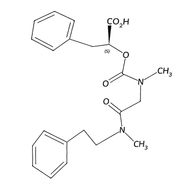 CN(CCc1ccccc1)C(=O)CN(C)C(=O)O[C@@H](Cc1ccccc1)C(=O)O